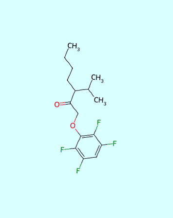 CCCCC(C(=O)COc1c(F)c(F)cc(F)c1F)C(C)C